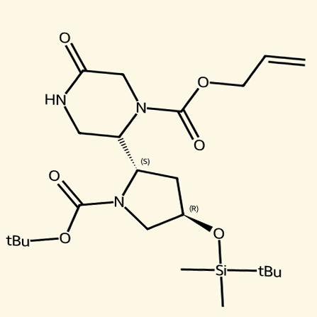 C=CCOC(=O)N1CC(=O)NCC1[C@@H]1C[C@@H](O[Si](C)(C)C(C)(C)C)CN1C(=O)OC(C)(C)C